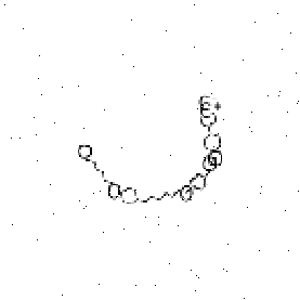 [CH2-][C+]1CCC(C2CCC(OOCc3ccc(OCCCCCCC4CCC(OCCCCCCOC)CC4)cc3)CC2)CC1